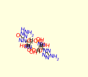 Nc1nc2c(ncn2[C@@H]2O[C@@H]3COP(=O)(O)N[C@H]4[C@@H](O)[C@H](n5cnc6c(N)ncnc65)O[C@@H]4COP(=O)(O)N[C@H]3[C@H]2O)c(=O)[nH]1